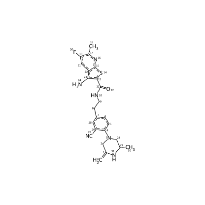 C=C1CN(c2ccc(CCNC(=O)c3sc4nc(C)c(F)cc4c3N)cc2C#N)CC(C)N1